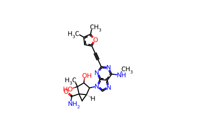 CNc1nc(C#Cc2cc(C)c(C)o2)nc2c1ncn2C1C(O)C(C)(O)C2(C(N)=O)C[C@H]12